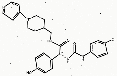 O=C(Nc1ccc(Cl)cc1)N[C@@H](C(=O)NCC1CCN(c2ccncc2)CC1)c1ccc(O)cc1